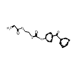 C=CC(=O)OCCOC(=O)Oc1ccc(C(=O)c2ccccc2)cc1